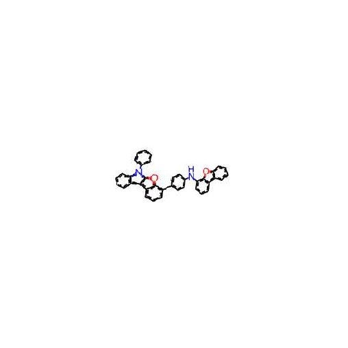 c1ccc(-n2c3ccccc3c3c4cccc(-c5ccc(Nc6cccc7c6oc6ccccc67)cc5)c4oc32)cc1